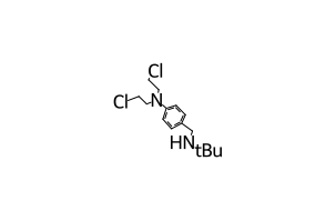 CC(C)(C)NCc1ccc(N(CCCl)CCCl)cc1